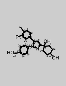 Cc1ccc(-c2cc(C3(O)CCC(O)CC3)nn2-c2ccc(CO)cc2)cc1F